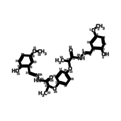 COc1ccc(O)c(C=NNC(=O)C(C)Oc2ccc(OC(C)C(=O)NN=Cc3cc(OC)ccc3O)cc2)c1